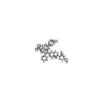 COc1ccc(-c2ccc3cc(-c4c(-c5ccccc5)c5sc(C(=O)O)cc5n4CC(=O)N4CCNCC4)ccc3n2)c(F)c1